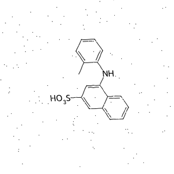 Cc1ccccc1Nc1cc(S(=O)(=O)O)cc2ccccc12